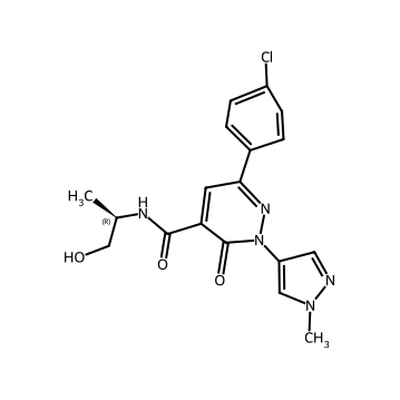 C[C@H](CO)NC(=O)c1cc(-c2ccc(Cl)cc2)nn(-c2cnn(C)c2)c1=O